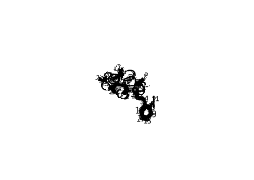 CC(=O)O[C@H]1[C@H](OC(C)=O)C([S+]([O-])CCc2ccccc2I)OC[C@H]1OC(C)=O